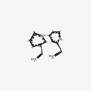 C=Cc1ccccn1.C=Cc1cccnc1